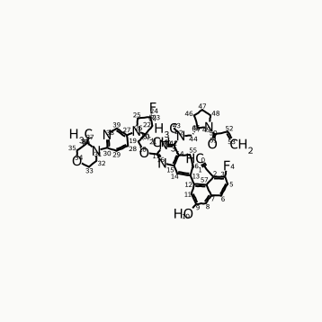 C#Cc1c(F)ccc2cc(O)cc(C3=Cc4nc(OC[C@]5(C)C[C@@H](F)CN5c5ccc(N6CCOC[C@H]6C)nc5)nc(N(C)C[C@@H]5CCCN5C(=O)C=C)c4CC3)c12